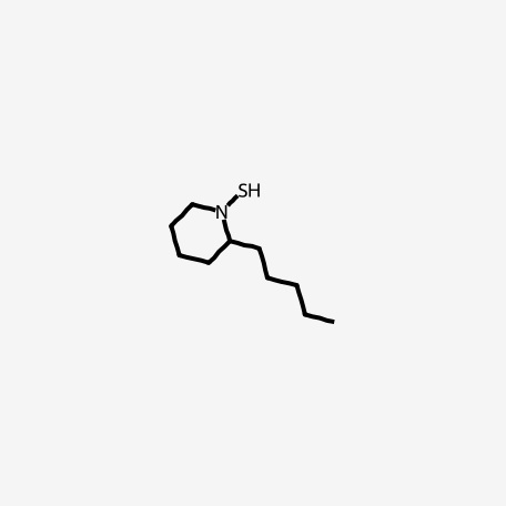 CCCCCC1CCCCN1S